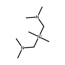 CN(C)C[N+](C)(C)CN(C)C